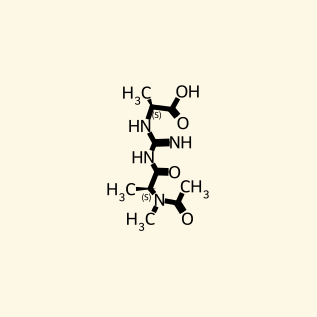 CC(=O)N(C)[C@@H](C)C(=O)NC(=N)N[C@@H](C)C(=O)O